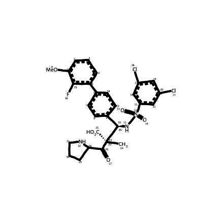 COc1cccc(-c2ccc([C@@H](NS(=O)(=O)c3cc(Cl)cc(Cl)c3)[C@](C)(C(=O)O)C(=O)C3CCCN3)cc2)c1F